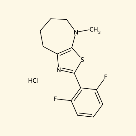 CN1CCCCc2nc(-c3c(F)cccc3F)sc21.Cl